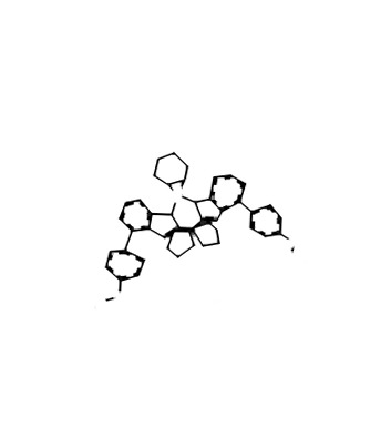 COc1ccc(-c2cccc3c2C=C(C2CCCC2)[CH]3[Hf+2]2([CH]3C(C4CCCC4)=Cc4c(-c5ccc(OC)cc5)cccc43)[CH]3CCCC[CH]32)cc1.[Cl-].[Cl-]